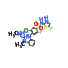 CNCCN(C)c1ccccc1Nc1cc(F)c(S(=O)(=O)NC2NC=C(F)S2)cc1Cl